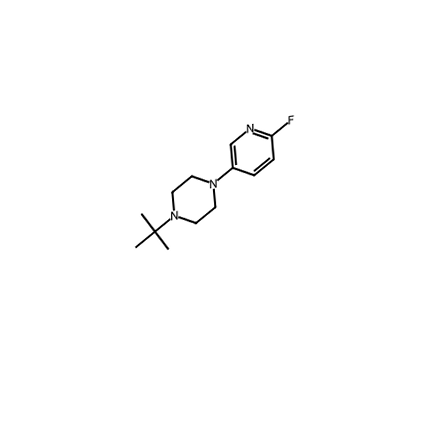 CC(C)(C)N1CCN(c2ccc(F)nc2)CC1